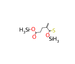 C=C(CCC(=O)O[SiH3])C(=S)O[SiH3]